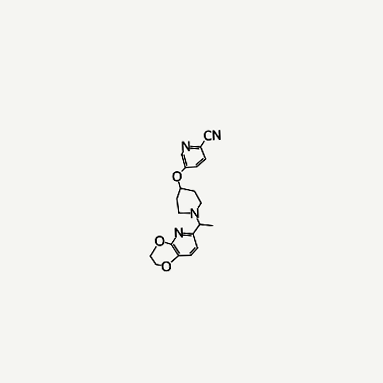 CC(c1ccc2c(n1)OCCO2)N1CCC(Oc2ccc(C#N)nc2)CC1